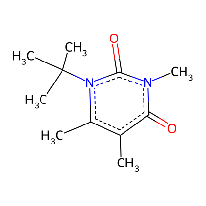 Cc1c(C)n(C(C)(C)C)c(=O)n(C)c1=O